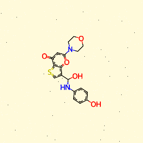 O=c1cc(N2CCOCC2)oc2c(C(O)Nc3ccc(O)cc3)csc12